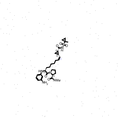 CNC(=O)[C@@H]1CCCN1C(=O)[C@H](CCCCC/C=C\[C@@H]1C[C@@H]1C(=O)NS(=O)(=O)C1(C)CC1)Nc1cccc(N)c1